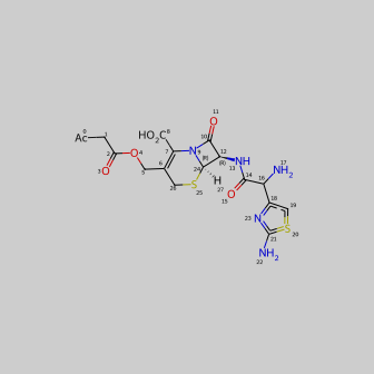 CC(=O)CC(=O)OCC1=C(C(=O)O)N2C(=O)[C@@H](NC(=O)C(N)c3csc(N)n3)[C@H]2SC1